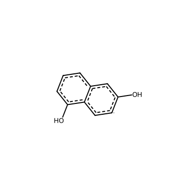 Oc1[c]cc2c(O)cccc2c1